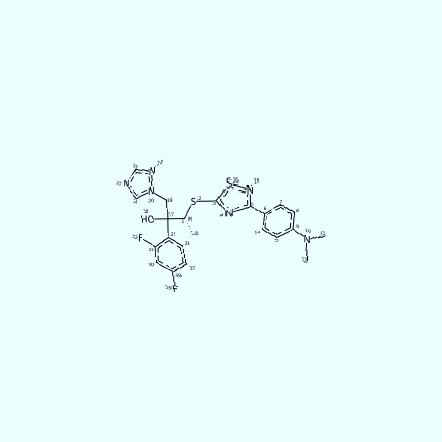 C[C@@H](Sc1nc(-c2ccc(N(C)C)cc2)ns1)C(O)(Cn1cncn1)c1ccc(F)cc1F